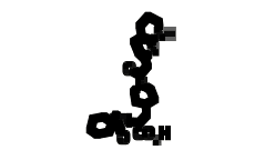 CC1(C(=O)N[C@@H](CC2CCN(C(=O)Cc3ccc4c(n3)NCCC4)CC2)C(=O)O)CCCCC1